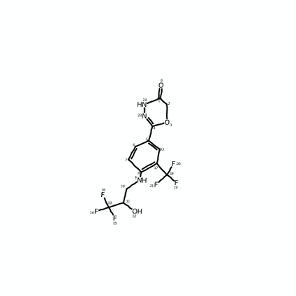 O=C1COC(c2ccc(NCC(O)C(F)(F)F)c(C(F)(F)F)c2)=NN1